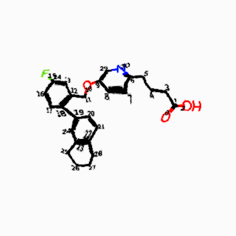 O=C(O)CCCc1ccc(OCc2cc(F)ccc2-c2ccc3c(c2)CCCC3)cn1